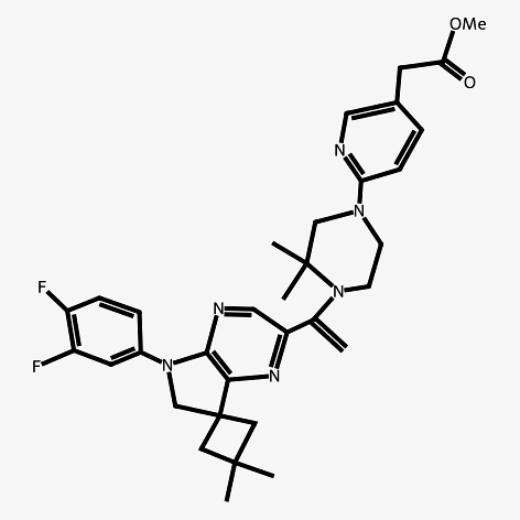 C=C(c1cnc2c(n1)C1(CN2c2ccc(F)c(F)c2)CC(C)(C)C1)N1CCN(c2ccc(CC(=O)OC)cn2)CC1(C)C